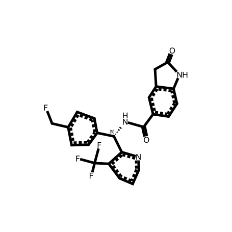 O=C1Cc2cc(C(=O)N[C@@H](c3ccc(CF)cc3)c3ncccc3C(F)(F)F)ccc2N1